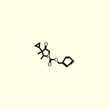 CC1N(C(=O)OCc2ccccc2)CC(=O)C1(C)C1CC1